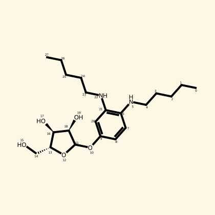 CCCCCNc1ccc(OC2O[C@H](CO)[C@@H](O)[C@H]2O)cc1NCCCCC